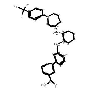 C[C@H](O)c1cccc(-c2ccnc(N[C@@H]3CCCC[C@H]3N[C@H]3CCCN(c4ccc(C(F)(F)F)cc4)C3)c2)c1